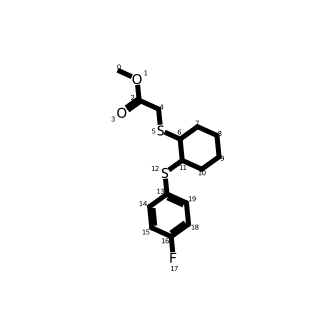 COC(=O)CSC1CCCCC1Sc1ccc(F)cc1